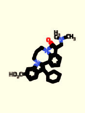 CN(C)CC1C(=O)N2CCCn3c(c(C4CCCCC4)c4ccc(C(=O)O)cc43)-c3cccc1c32